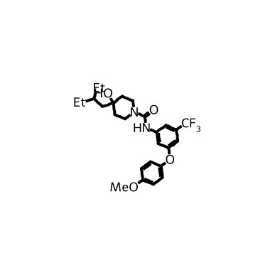 CCC(CC)CC1(O)CCN(C(=O)Nc2cc(Oc3ccc(OC)cc3)cc(C(F)(F)F)c2)CC1